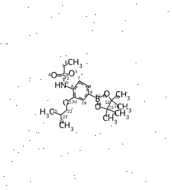 CCS(=O)(=O)Nc1ccc(B2OC(C)(C)C(C)(C)O2)cc1OCC(C)C